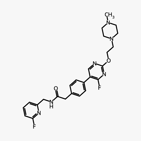 CN1CCN(CCOc2ncc(-c3ccc(CC(=O)NCc4cccc(F)n4)cc3)c(F)n2)CC1